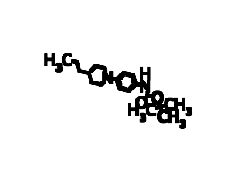 CCCC1CCN(c2ccc(NC(=O)OC(C)(C)C)cc2)CC1